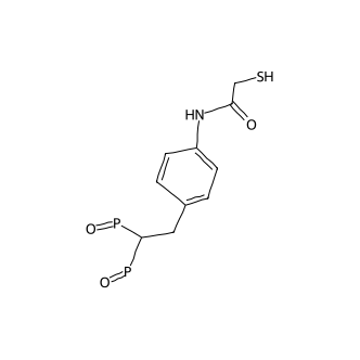 O=PC(Cc1ccc(NC(=O)CS)cc1)P=O